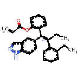 C=CC(=O)Oc1ccccc1/C(=C(\CC)c1ccccc1CC)c1ccc2[nH]ncc2c1